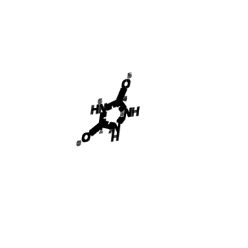 O=c1[nH][nH]c(=O)[nH]1